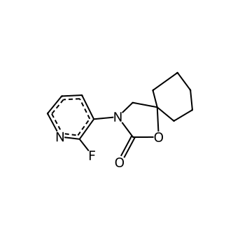 O=C1OC2(CCCCC2)CN1c1cccnc1F